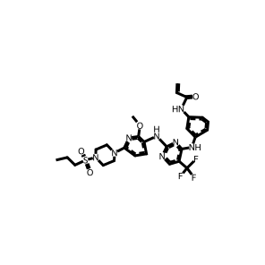 C=CC(=O)Nc1cccc(Nc2nc(Nc3ccc(N4CCN(S(=O)(=O)CCC)CC4)nc3OC)ncc2C(F)(F)F)c1